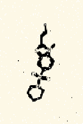 C/C=C/c1sc2cc(S(=O)(=O)N3CCCCC3)ccc2[n+]1C